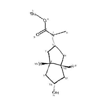 CN(C(=O)OC(C)(C)C)[C@H]1C[C@H]2C[C@@H](O)C[C@H]2C1